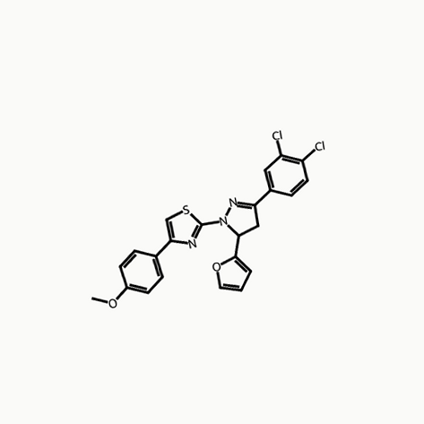 COc1ccc(-c2csc(N3N=C(c4ccc(Cl)c(Cl)c4)CC3c3ccco3)n2)cc1